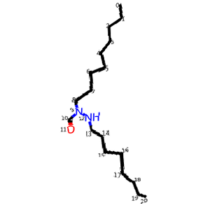 CCCCCCCCCN([C]=O)NCCCCCCCC